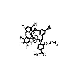 CCOc1cc(C(=O)O)ccc1N(Cc1cc(C2CC2)cc(C2CC2)c1)C(=O)CN(Cc1ccc(F)cc1C#N)S(=O)(=O)c1c(F)c(F)c(F)c(F)c1F